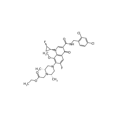 CCOC(=O)CN1[C@H](C)CN(c2c(F)cc3c(=O)c(C(=O)NCc4ccc(Cl)cc4Cl)cn([C@H]4C[C@H]4F)c3c2OC)C[C@@H]1C